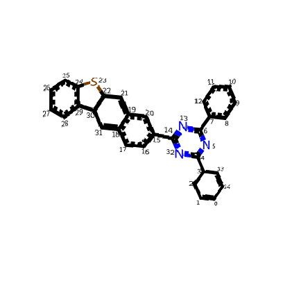 C1=CCC(c2nc(-c3ccccc3)nc(-c3ccc4c(c3)=CC3Sc5ccccc5C3C=4)n2)C=C1